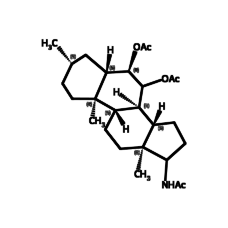 CC(=O)NC1CC[C@H]2[C@@H]3C(OC(C)=O)[C@H](OC(C)=O)[C@H]4C[C@@H](C)CC[C@]4(C)[C@H]3CC[C@]12C